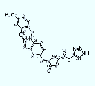 Cc1ccc(Cn2ncc3cc(/C=C4\SC(NCc5nn[nH]n5)=NC4=O)ccc32)c(C(F)(F)F)c1